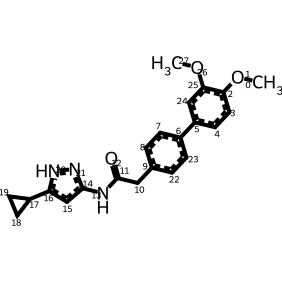 COc1ccc(-c2ccc(CC(=O)Nc3cc(C4CC4)[nH]n3)cc2)cc1OC